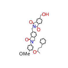 COc1ccc(N2Cc3ccc(CN4C(=O)c5ccc(CO)cc5C4=O)cc3C2=O)cc1OC(C)CCc1ccccc1